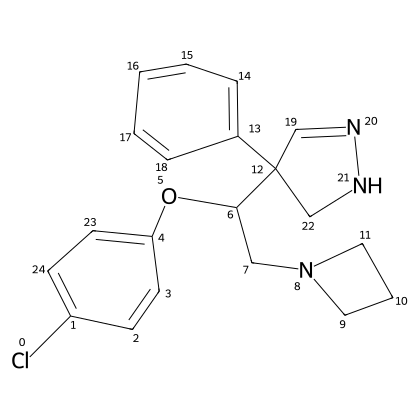 Clc1ccc(OC(CN2CCC2)C2(c3ccccc3)C=NNC2)cc1